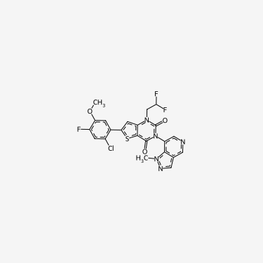 COc1cc(-c2cc3c(s2)c(=O)n(-c2cncc4cnn(C)c24)c(=O)n3CC(F)F)c(Cl)cc1F